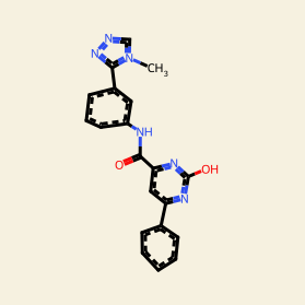 Cn1cnnc1-c1cccc(NC(=O)c2cc(-c3ccccc3)nc(O)n2)c1